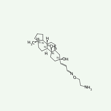 C[C@@]12CCC[C@H]1[C@@H]1CC=C3C[C@](O)(C=CC=NOCCN)CC[C@]3(C)[C@H]1CC2